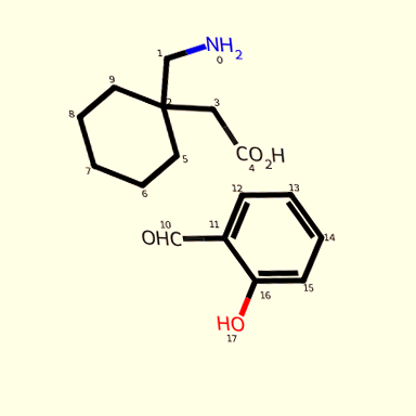 NCC1(CC(=O)O)CCCCC1.O=Cc1ccccc1O